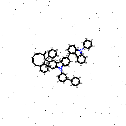 C=C1/C=C\C=C/Cc2ccccc2C1(c1ccccc1)c1ccc2c(c1)c1cc(-c3cccc4c3c3ccccc3n4-c3ccccc3)ccc1n2-c1cccc(-c2ccccc2)c1